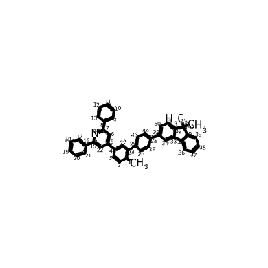 Cc1ccc(-c2cc(-c3ccccc3)nc(-c3ccccc3)c2)cc1-c1ccc(-c2ccc3c(c2)-c2ccccc2C3(C)C)cc1